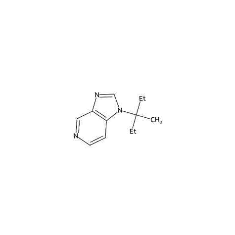 CCC(C)(CC)n1cnc2cnccc21